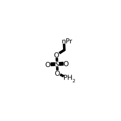 CCCCOS(=O)(=O)OP